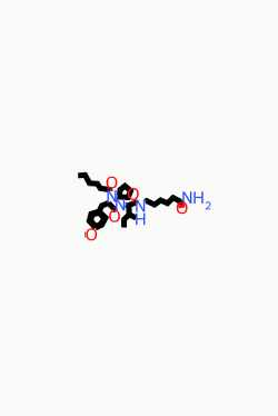 CCCCCC(=O)N1C(Cc2ccc(OC)cc2)C(=O)N(C(C(=O)NCCCCCC(N)=O)C(C)CC)C12CCCC2